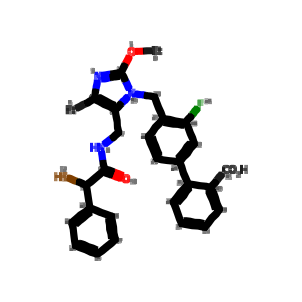 CCOc1nc(CC)c(CNC(=O)C(S)c2ccccc2)n1Cc1ccc(-c2ccccc2C(=O)O)cc1F